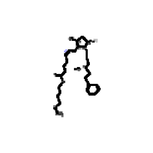 O=C(CCC/C=C\C[C@@H]1[C@@H](CCC[C@@H](O)CCc2ccccc2)[C@H](O)C[C@@H]1O)OCCCCO[N+](=O)[O-]